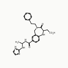 CC(NC(=O)c1ccc2c(c1)CN(CCc1ccccc1)C(=O)C(CC(=O)O)N2)Nc1ncc[nH]1